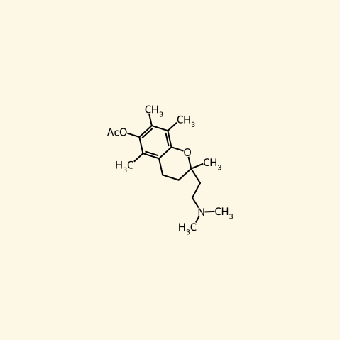 CC(=O)Oc1c(C)c(C)c2c(c1C)CCC(C)(CCN(C)C)O2